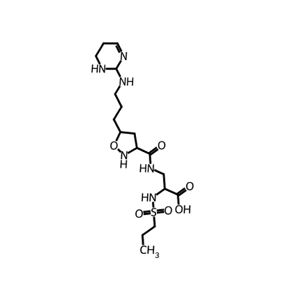 CCCS(=O)(=O)NC(CNC(=O)C1CC(CCCNC2N=CCCN2)ON1)C(=O)O